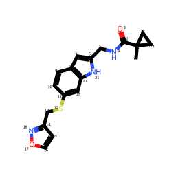 CC1(C(=O)NCc2cc3ccc(SCc4ccon4)cc3[nH]2)CC1